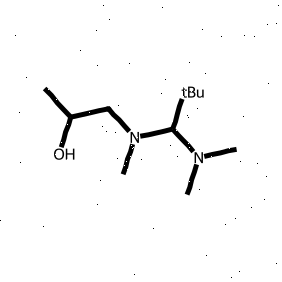 CC(O)CN(C)C(N(C)C)C(C)(C)C